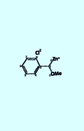 CO[CH]([Zn+])c1ccccc1.[Cl-]